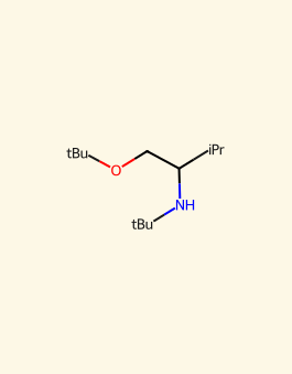 CC(C)C(COC(C)(C)C)NC(C)(C)C